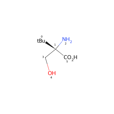 CC(C)(C)[C@](N)(CO)C(=O)O